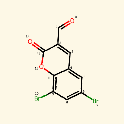 O=Cc1cc2cc(Br)cc(Br)c2oc1=O